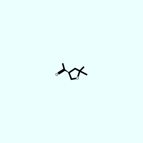 CC(=O)[C@@H]1COC(C)(C)C1